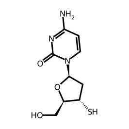 Nc1ccn([C@H]2C[C@H](S)[C@@H](CO)O2)c(=O)n1